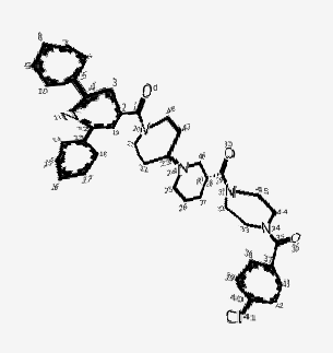 O=C(c1cc(-c2ccccc2)nc(-c2ccccc2)c1)N1CCC(N2CCC[C@@H](C(=O)N3CCN(C(=O)c4ccc(Cl)cc4)CC3)C2)CC1